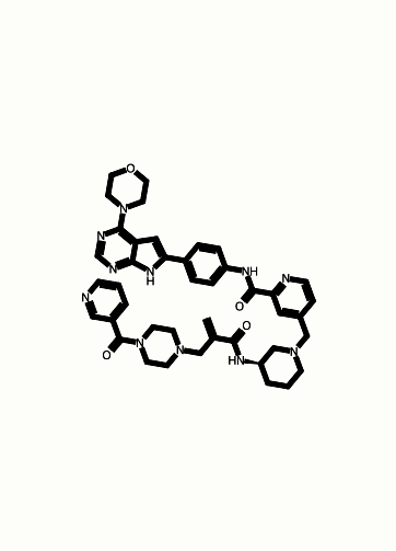 C=C(CN1CCN(C(=O)c2cccnc2)CC1)C(=O)N[C@@H]1CCCN(Cc2ccnc(C(=O)Nc3ccc(-c4cc5c(N6CCOCC6)ncnc5[nH]4)cc3)c2)C1